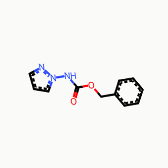 O=C(Nn1cccn1)OCc1ccccc1